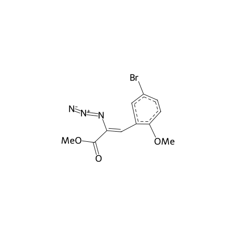 COC(=O)C(=Cc1cc(Br)ccc1OC)N=[N+]=[N-]